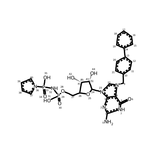 Nc1nc2c(c(=O)[nH]1)[n+](Cc1ccc(-c3ccccc3)cc1)cn2C1OC(COP(=O)(O)NP(=O)(O)n2cccc2)[C@H](O)[C@@H]1O